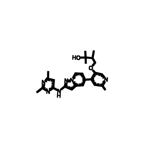 Cc1cc(-c2ccn3nc(Nc4cc(C)nc(C)n4)cc3c2)c(OCC(C)C(C)(C)O)cn1